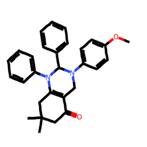 COc1ccc(N2CC3=C(CC(C)(C)CC3=O)N(c3ccccc3)C2c2ccccc2)cc1